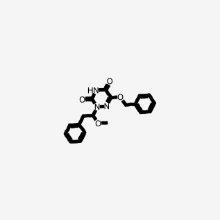 COC(Cc1ccccc1)n1nc(OCc2ccccc2)c(=O)[nH]c1=O